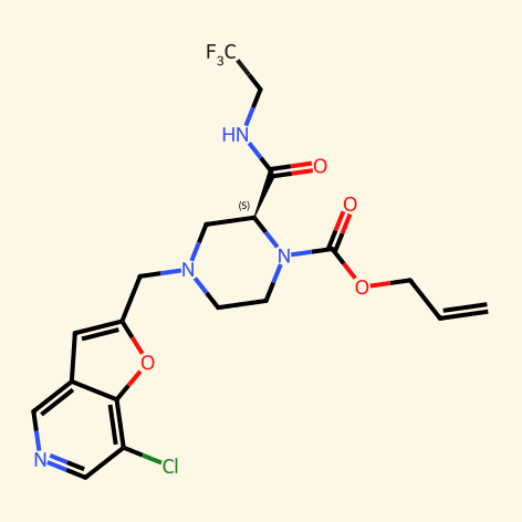 C=CCOC(=O)N1CCN(Cc2cc3cncc(Cl)c3o2)C[C@H]1C(=O)NCC(F)(F)F